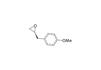 COc1ccc(C[C@H]2CO2)cc1